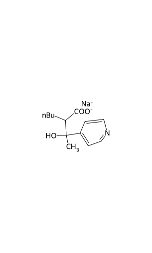 CCCCC(C(=O)[O-])C(C)(O)c1ccncc1.[Na+]